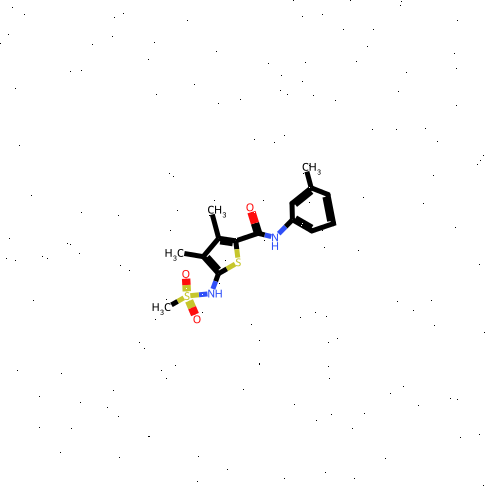 Cc1cccc(NC(=O)c2sc(NS(C)(=O)=O)c(C)c2C)c1